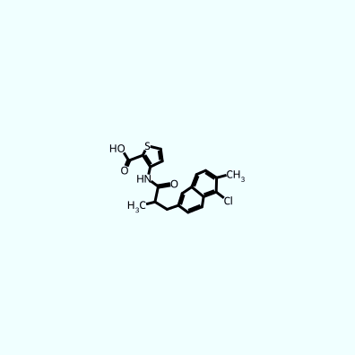 Cc1ccc2cc(CC(C)C(=O)Nc3ccsc3C(=O)O)ccc2c1Cl